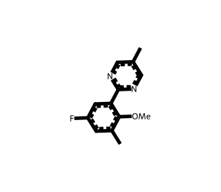 COc1c(C)cc(F)cc1-c1ncc(C)cn1